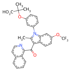 Cc1c(C(=O)c2nccc3ccccc23)c2ccc(OC(F)(F)F)cc2n1-c1cccc(OC(C)(C)C(=O)O)c1